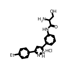 CCc1ccc(-c2cc(-c3cccc(NC(=O)C(N)CO)c3)[nH]n2)cc1.Cl